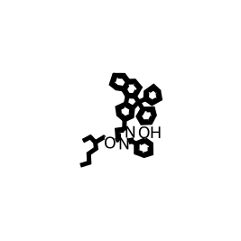 CCCCC(CC)COc1cc(-c2ccc3c(c2)C(c2ccccc2)(c2ccccc2)c2ccc4ccccc4c2-3)nc(-c2ccccc2O)n1